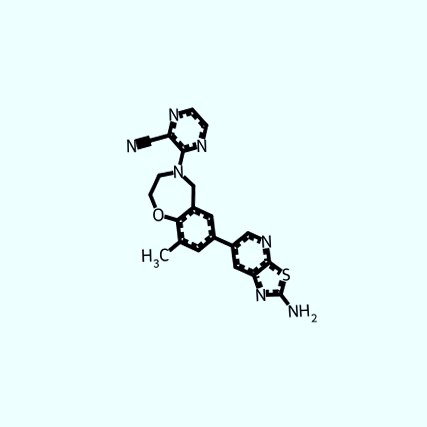 Cc1cc(-c2cnc3sc(N)nc3c2)cc2c1OCCN(c1nccnc1C#N)C2